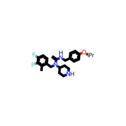 C=C(NCc1ccc(OC(C)C)cc1)N(Cc1ccc(F)c(F)c1C)C1CCNCC1